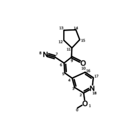 COc1cc(C=C(C#N)C(=O)C2CCCC2)ccn1